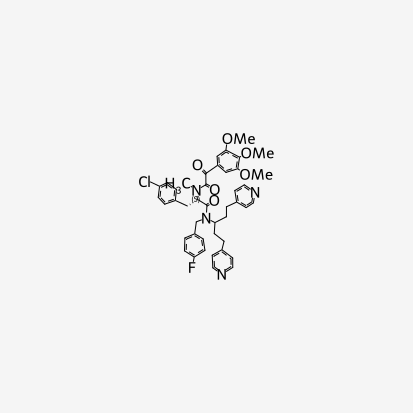 COc1cc(C(=O)C(=O)N(C)[C@@H](Cc2ccc(Cl)cc2)C(=O)N(Cc2ccc(F)cc2)C(CCc2ccncc2)CCc2ccncc2)cc(OC)c1OC